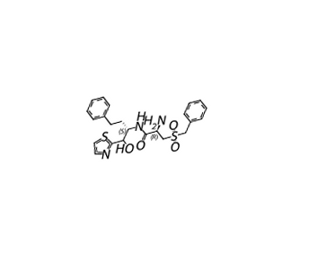 N[C@@H](CS(=O)(=O)Cc1ccccc1)C(=O)N[C@@H](CCc1ccccc1)C(O)c1nccs1